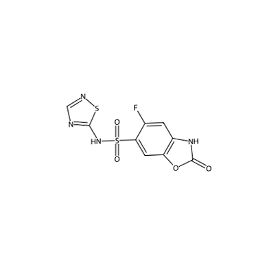 O=c1[nH]c2cc(F)c(S(=O)(=O)Nc3ncns3)cc2o1